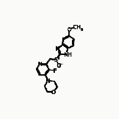 COc1ccc2[nH]c([S+]([O-])Cc3nccc(N4CCOCC4)c3F)nc2c1